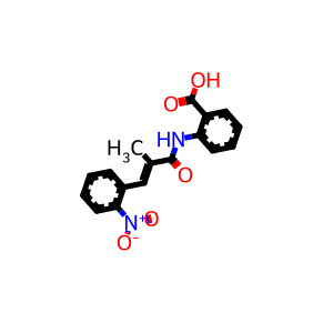 CC(=Cc1ccccc1[N+](=O)[O-])C(=O)Nc1ccccc1C(=O)O